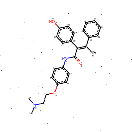 CC(C)/C(=C(\C(=O)Nc1ccc(OCCN(C)C)cc1)c1ccc(O)cc1)c1ccccc1